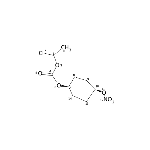 CC(Cl)OC(=O)O[C@H]1CC[C@@H](O[N+](=O)[O-])CC1